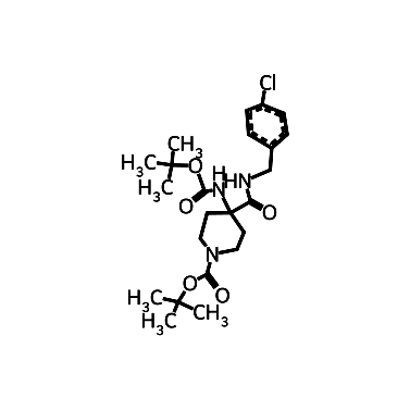 CC(C)(C)OC(=O)NC1(C(=O)NCc2ccc(Cl)cc2)CCN(C(=O)OC(C)(C)C)CC1